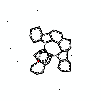 c1ccc(-n2c3ccccc3c3ccc4ccc5c6ccccc6n(-c6ccc7ccccc7c6)c5c4c32)cc1